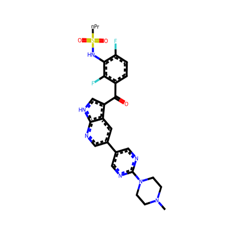 CCCS(=O)(=O)Nc1c(F)ccc(C(=O)c2c[nH]c3ncc(-c4cnc(N5CCN(C)CC5)nc4)cc23)c1F